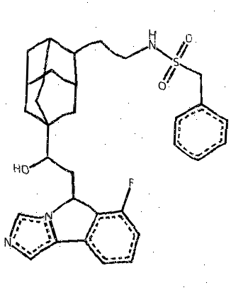 O=S(=O)(Cc1ccccc1)NCCC1C2CC3CC1CC(C(O)CC1c4c(F)cccc4-c4cncn41)(C3)C2